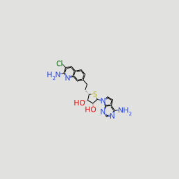 Nc1nc2cc(CC[C@@H]3S[C@@H](n4ccc5c(N)ncnc54)[C@H](O)[C@@H]3O)ccc2cc1Cl